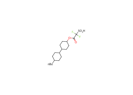 CCCCC1CCC(C2CCC(OC(=O)C(F)(F)S(=O)(=O)O)CC2)CC1